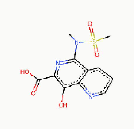 CN(c1nc(C(=O)O)c(O)c2ncccc12)S(C)(=O)=O